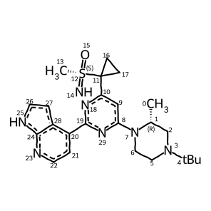 C[C@@H]1CN(C(C)(C)C)CCN1c1cc(C2([S@@](C)(=N)=O)CC2)nc(-c2ccnc3[nH]ccc23)n1